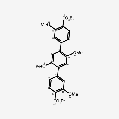 CCOC(=O)c1ccc(-c2cc(OC)c(-c3ccc(C(=O)OCC)c(OC)c3)cc2OC)cc1OC